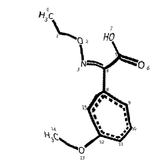 CCON=C(C(=O)O)c1cccc(OC)c1